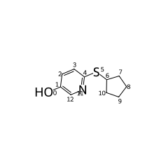 Oc1ccc(SC2CCCC2)nc1